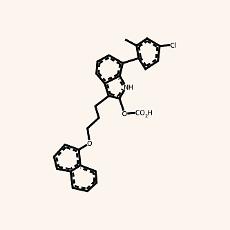 Cc1cc(Cl)ccc1-c1cccc2c(CCCOc3cccc4ccccc34)c(OC(=O)O)[nH]c12